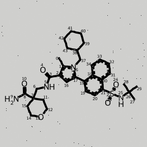 Cc1c(C(=O)NCC2(C(N)=O)CCOCC2)cc(-c2ccc(S(=O)(=O)NC(C)(C)C)c3ccccc23)n1CC1CCCCC1